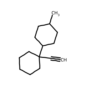 C#CC1(C2CCC(C)CC2)CCCCC1